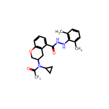 Cc1cccc(C)c1NNC(=O)c1cccc2c1CC(N(C(=O)C(F)(F)F)C1CC1)CO2